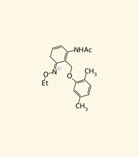 CCO/N=C1\CC=CC(NC(C)=O)=C1COc1cc(C)ccc1C